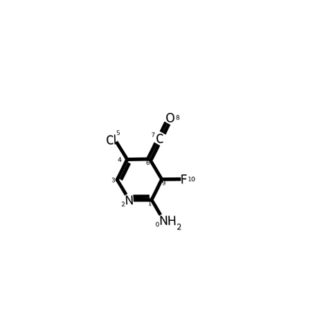 NC1=NC=C(Cl)C(=C=O)C1F